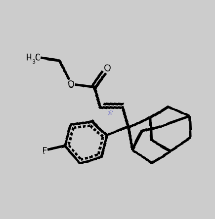 CCOC(=O)/C=C/C1(c2ccc(F)cc2)C2CC3CC(C2)CC1C3